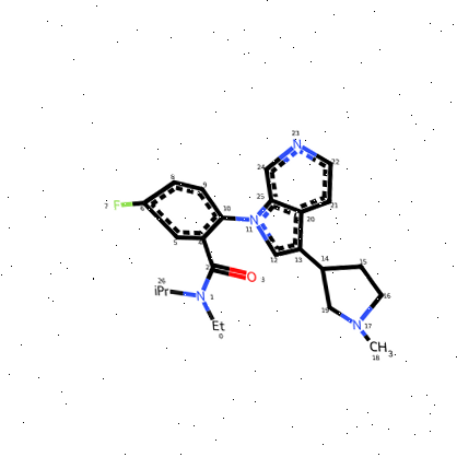 CCN(C(=O)c1cc(F)ccc1-n1cc(C2CCN(C)C2)c2ccncc21)C(C)C